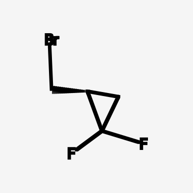 FC1(F)C[C@H]1CBr